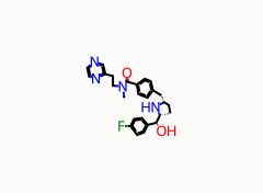 CN(CCc1cnccn1)C(=O)c1ccc(C[C@@H]2CC[C@H]([C@H](O)c3ccc(F)cc3)N2)cc1